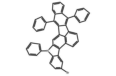 Brc1ccc2c(c1)c1c3cccc4c3c(cc1n2-c1ccccc1)-c1c-4c(-c2ccccc2)c2ccccc2c1-c1ccccc1